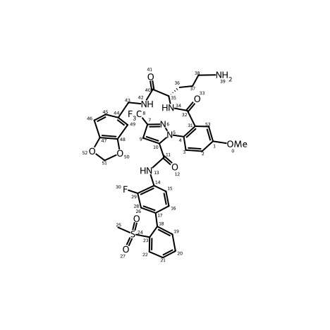 COc1ccc(-n2nc(C(F)(F)F)cc2C(=O)Nc2ccc(-c3ccccc3S(C)(=O)=O)cc2F)c(C(=O)N[C@@H](CCCN)C(=O)NCc2ccc3c(c2)OCO3)c1